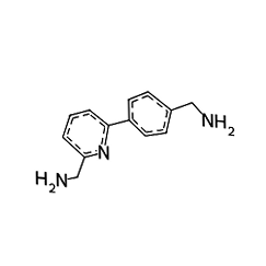 NCc1ccc(-c2cccc(CN)n2)cc1